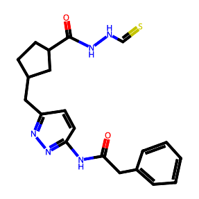 O=C(Cc1ccccc1)Nc1ccc(CC2CCC(C(=O)NNC=S)C2)nn1